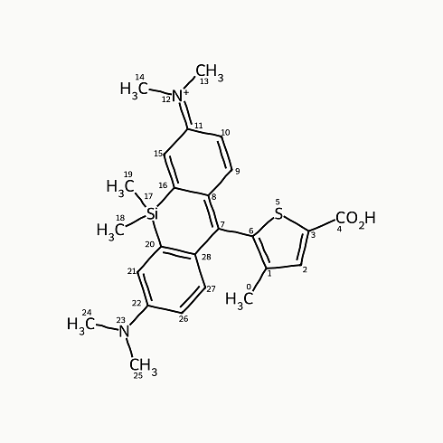 Cc1cc(C(=O)O)sc1C1=C2C=CC(=[N+](C)C)C=C2[Si](C)(C)c2cc(N(C)C)ccc21